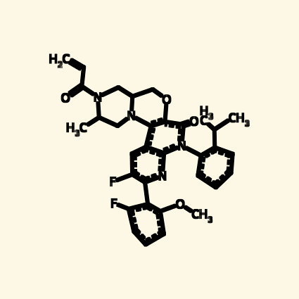 C=CC(=O)N1CC2COc3c(c4cc(F)c(-c5c(F)cccc5OC)nc4n(-c4ccccc4C(C)C)c3=O)N2CC1C